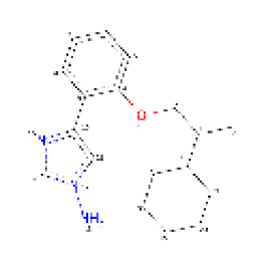 CC(COc1ccccc1-c1cn(N)cn1)C1CCCCC1